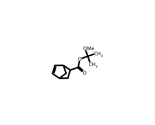 COC(C)(C)OC(=O)C1CC2C=CC1C2